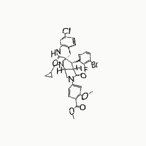 COC(=O)c1ccc(N2C[C@H]3[C@@H](C2=O)[C@H](c2cccc(Br)c2F)[C@@]2(Cc4ccc(Cl)cc4NC2=O)N3CC2CC2)cc1OC